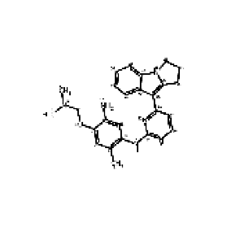 Cc1cc(OCN(C)C)c(N)cc1Nc1nccc(-c2c3n(c4ccccc24)CCC3)n1